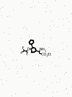 CCOC(=O)CC(N)c1ccc(OC(F)C(F)F)c(-c2ccccc2)c1